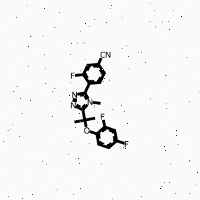 Cn1c(-c2ccc(C#N)cc2F)nnc1C(C)(C)Oc1ccc(F)cc1F